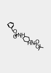 CC(C)(C)OC(=O)NC[C@H]1CC[C@H](CNC(=O)OCc2ccccc2)CC1